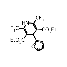 CCOC(=O)C1=C(C(F)(F)F)NC(C(F)(F)F)=C(C(=O)OCC)C1c1ccco1